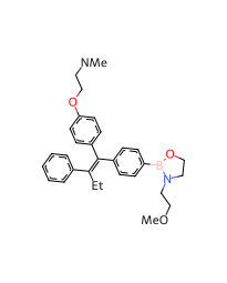 CCC(=C(c1ccc(OCCNC)cc1)c1ccc(B2OCCN2CCOC)cc1)c1ccccc1